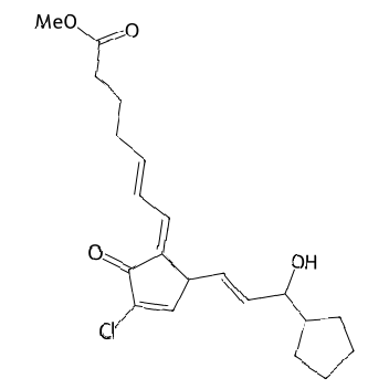 COC(=O)CCC/C=C/C=C1\C(=O)C(Cl)=CC1/C=C/C(O)C1CCCC1